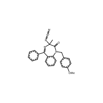 COc1ccc(CN2C(=O)C(C)(N=[N+]=[N-])N=C(c3ccccc3)c3ccccc32)cc1